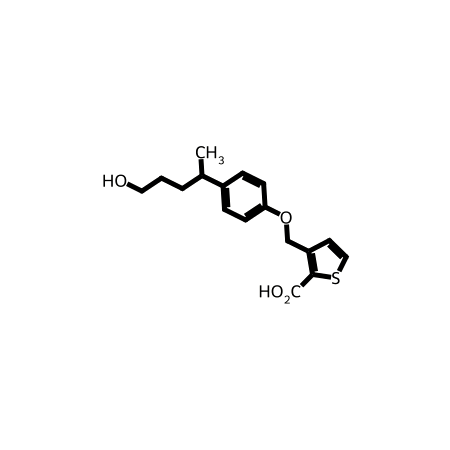 CC(CCCO)c1ccc(OCc2ccsc2C(=O)O)cc1